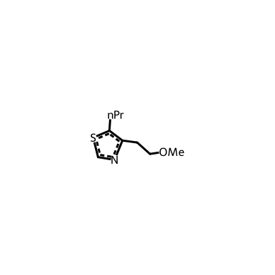 CCCc1scnc1CCOC